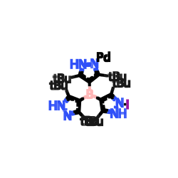 CC(C)(C)c1n[nH]c(C(C)(C)C)c1B(c1c(C(C)(C)C)n[nH]c1C(C)(C)C)c1c(C(C)(C)C)n[nH]c1C(C)(C)C.[I].[Pd]